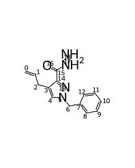 C=CCc1cn(Cc2ccccc2)nc1C(=O)NN